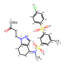 COC(=O)CCn1ncc2c1CCCC2N(C)S(=O)(=O)c1cc(C(F)(F)F)cc(S(=O)(=O)c2ccc(Cl)cc2)c1